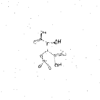 O=C(O)C(O)C(O[N+](=O)[O-])C(=O)O